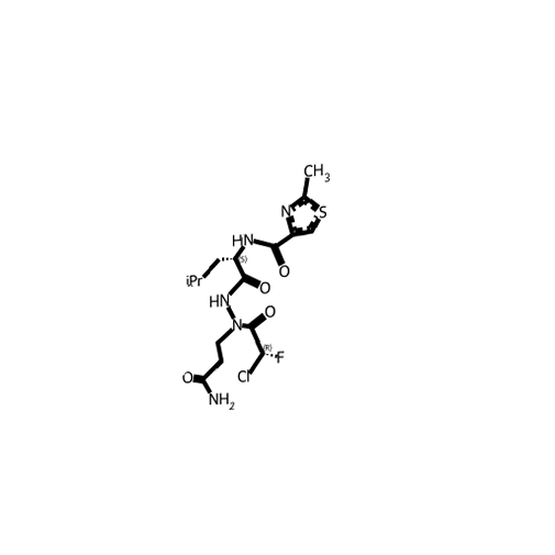 Cc1nc(C(=O)N[C@@H](CC(C)C)C(=O)NN(CCC(N)=O)C(=O)[C@H](F)Cl)cs1